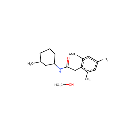 COc1cc(C)cc(C)c1CC(=O)NC1CCCC(C)C1.O=C(O)O